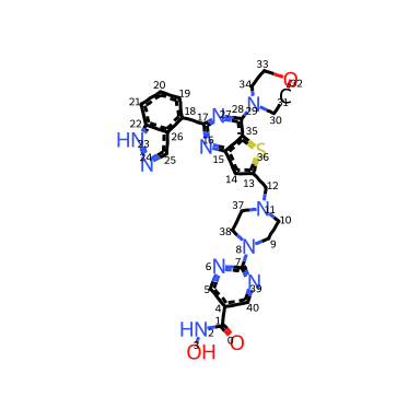 O=C(NO)c1cnc(N2CCN(Cc3cc4nc(-c5cccc6[nH]ncc56)nc(N5CCOCC5)c4s3)CC2)nc1